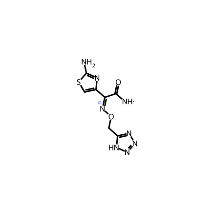 [NH]C(=O)/C(=N\OCc1nnn[nH]1)c1csc(N)n1